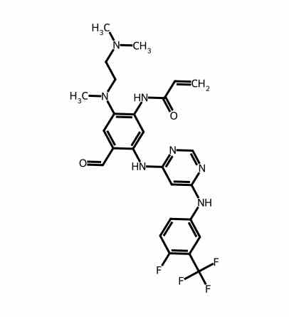 C=CC(=O)Nc1cc(Nc2cc(Nc3ccc(F)c(C(F)(F)F)c3)ncn2)c(C=O)cc1N(C)CCN(C)C